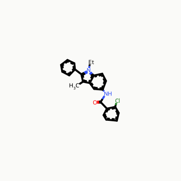 CCn1c(-c2ccccc2)c(C)c2cc(NC(=O)c3ccccc3Cl)ccc21